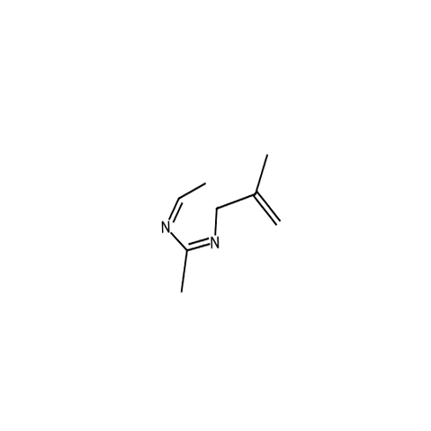 C=C(C)C/N=C(C)\N=C/C